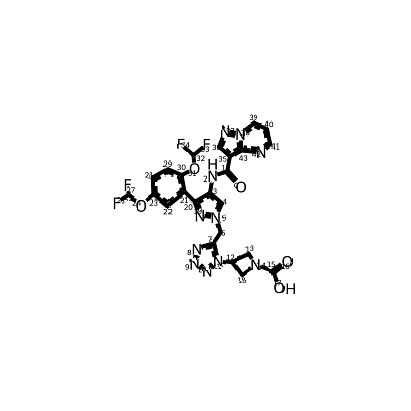 O=C(Nc1cn(Cc2nnnn2C2CN(C(=O)O)C2)nc1-c1cc(OC(F)F)ccc1OC(F)F)c1cnn2cccnc12